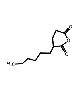 CCCCCCC1CCC(=O)OC1=O